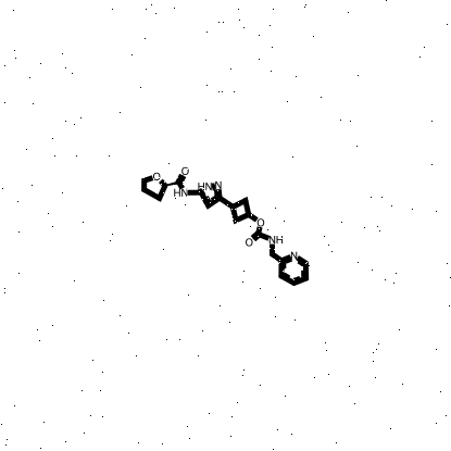 O=C(NCc1ccccn1)OC1CC(c2cc(NC(=O)[C@H]3CCCO3)[nH]n2)C1